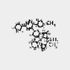 Cc1ccc(-c2nnc(-c3cccnc3)nc2-c2ccc3c(c2)-c2ccccc2C32c3ccccc3C(C)(C)c3ccccc32)cc1